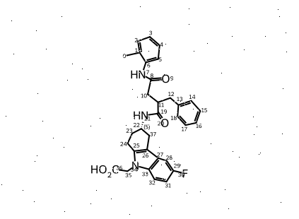 Cc1ccccc1NC(=O)CC(Cc1ccccc1)C(=O)N[C@H]1CCc2c(c3cc(F)ccc3n2CC(=O)O)C1